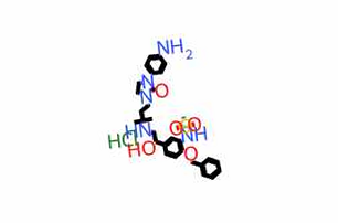 CC(C)(CCN1CCN(c2ccc(N)cc2)C1=O)NCC(O)c1ccc(OCc2ccccc2)c(NS(C)(=O)=O)c1.Cl